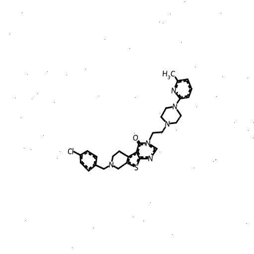 Cc1cccc(N2CCN(CCn3cnc4sc5c(c4c3=O)CCN(Cc3ccc(Cl)cc3)C5)CC2)n1